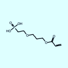 C=CC(=O)OCCCOCCP(=O)(O)O